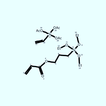 C=CC(=O)OCCC[Si](OCC)(OCC)OCC.C=C[Si](OC(C)=O)(OC(C)=O)OC(C)=O